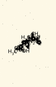 COc1cc(C(=O)N2CC3CCC2C3N)cc2nc(-c3cc4ccc(-c5cnc(NC(C)=O)c(CO)c5)nc4n3CC3CC3)n(C)c12